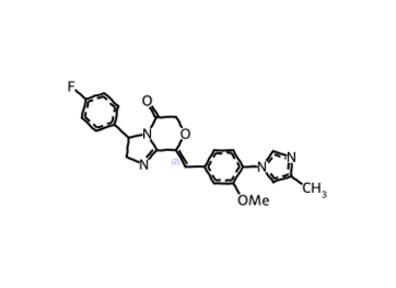 COc1cc(/C=C2\OCC(=O)N3C2=NCC3c2ccc(F)cc2)ccc1-n1cnc(C)c1